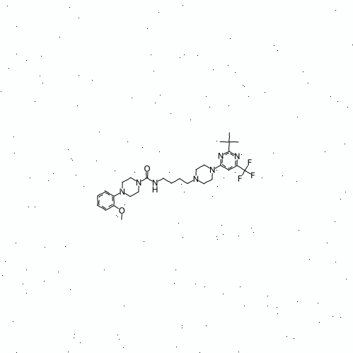 COc1ccccc1N1CCN(C(=O)NCCCCN2CCN(c3cc(C(F)(F)F)nc(C(C)(C)C)n3)CC2)CC1